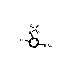 CC(=O)Nc1ccc(O)c(NS(C)(=O)=O)c1